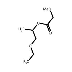 COCC(=O)OC(C)COCC(F)(F)F